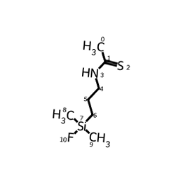 CC(=S)NCCC[Si](C)(C)F